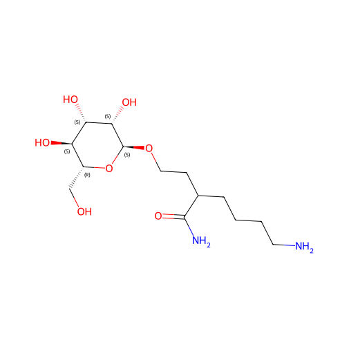 NCCCCC(CCO[C@H]1O[C@H](CO)[C@@H](O)[C@H](O)[C@@H]1O)C(N)=O